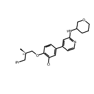 CC(C)C[C@@H](C)COc1ccc(-c2ccnc(NC3CCCOC3)c2)cc1Cl